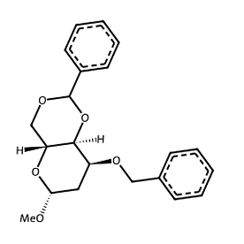 CO[C@H]1C[C@H](OCc2ccccc2)[C@@H]2OC(c3ccccc3)OC[C@H]2O1